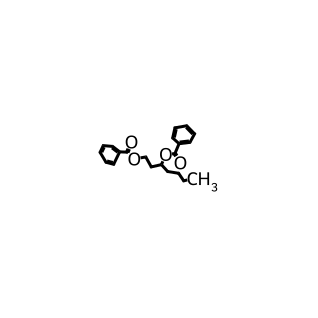 CCCCC(CCOC(=O)c1ccccc1)OC(=O)c1ccccc1